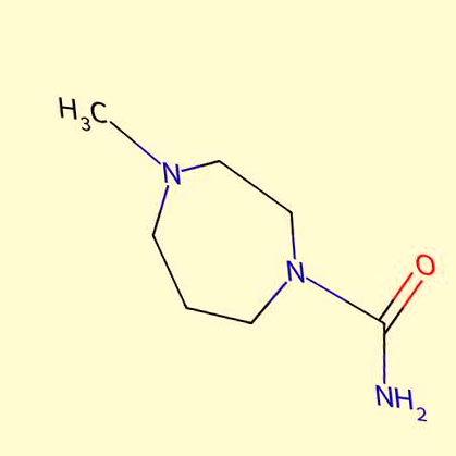 CN1CCCN(C(N)=O)CC1